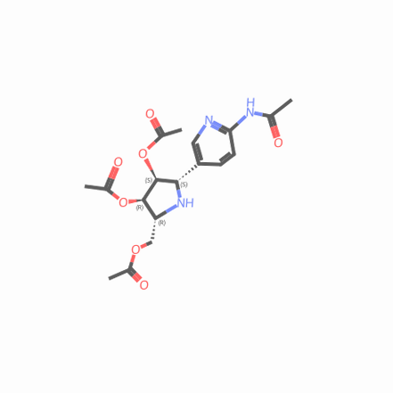 CC(=O)Nc1ccc([C@@H]2N[C@H](COC(C)=O)[C@@H](OC(C)=O)[C@H]2OC(C)=O)cn1